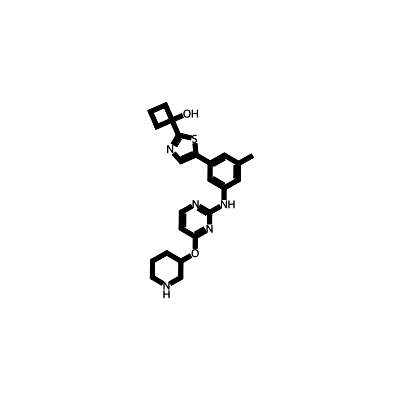 Cc1cc(Nc2nccc(OC3CCCNC3)n2)cc(-c2cnc(C3(O)CCC3)s2)c1